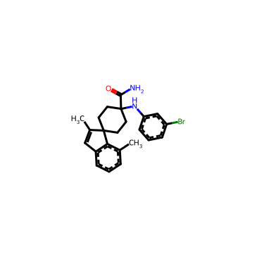 CC1=Cc2cccc(C)c2C12CCC(Nc1cccc(Br)c1)(C(N)=O)CC2